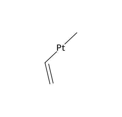 C=[CH][Pt][CH3]